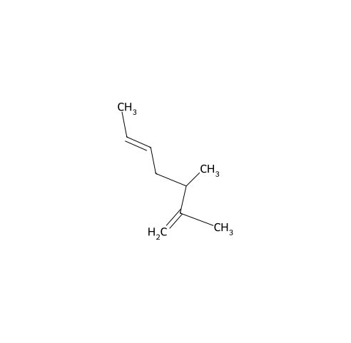 C=C(C)C(C)CC=CC